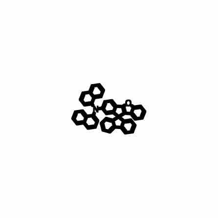 c1ccc2c(c1)-c1ccccc1C21c2cc(N(c3cccc4ccccc34)c3cccc4ccccc34)ccc2-c2oc3ccccc3c21